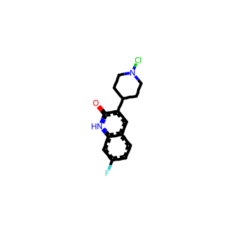 O=c1[nH]c2cc(F)ccc2cc1C1CCN(Cl)CC1